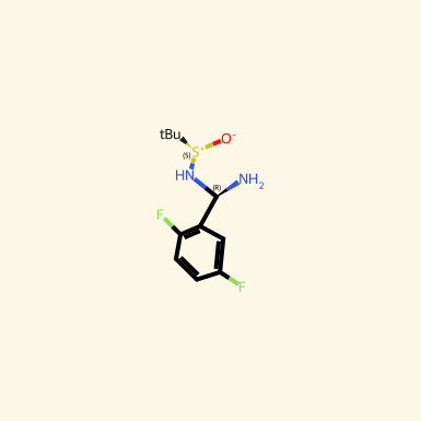 CC(C)(C)[S@@+]([O-])N[C@@H](N)c1cc(F)ccc1F